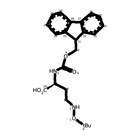 CC(C)(C)ONCC[C@H](NC(=O)OCC1c2ccccc2-c2ccccc21)C(=O)O